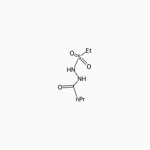 CCCC(=O)NNS(=O)(=O)CC